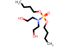 CCCCOP(=O)(OCCCC)N(CCO)CCO